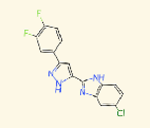 Fc1ccc(-c2cc(-c3nc4cc(Cl)ccc4[nH]3)[nH]n2)cc1F